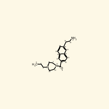 CCCN1CCN(C(=O)c2ccc3cc(CCN)ccc3c2)CC1